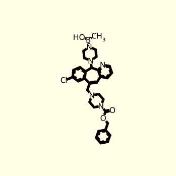 CB(O)N1CCN(C2c3ccc(Cl)cc3C(CN3CCN(C(=O)OCc4ccccc4)CC3)=Cc3cccnc32)CC1